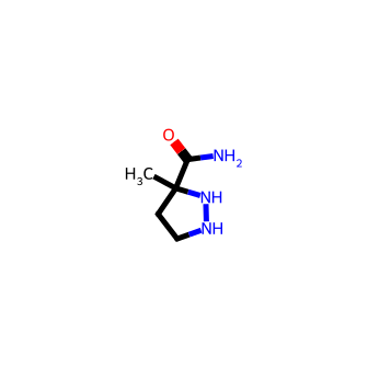 CC1(C(N)=O)CCNN1